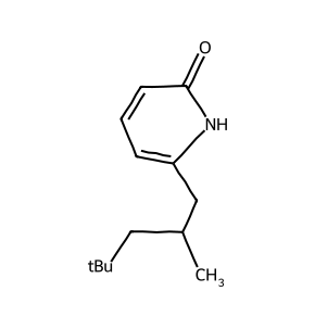 CC(Cc1cccc(=O)[nH]1)CC(C)(C)C